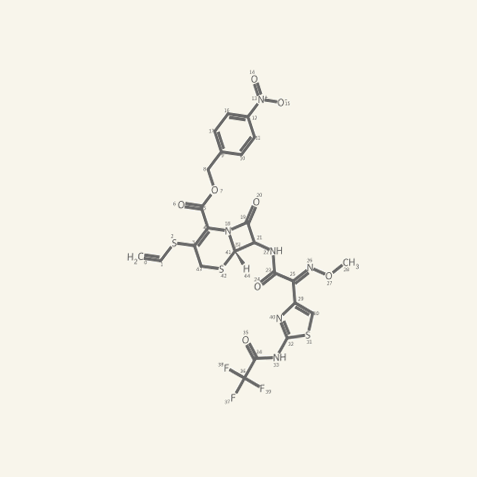 C=CSC1=C(C(=O)OCc2ccc([N+](=O)[O-])cc2)N2C(=O)C(NC(=O)C(=NOC)c3csc(NC(=O)C(F)(F)F)n3)[C@@H]2SC1